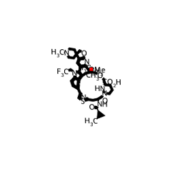 CO[C@@H](C)c1nc2c(cc1-c1c3c4cc(ccc4n1CC(F)(F)F)-c1csc(n1)C[C@H](NC(=O)[C@H]1C[C@@H]1C)C(=O)N1CCC[C@@](C(=O)O)(COCC(C)(C)C3)N1)C1(CCN(C)CC1)CO2